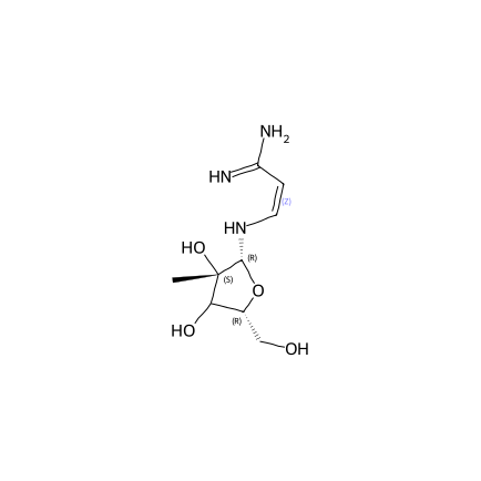 C[C@]1(O)C(O)[C@@H](CO)O[C@H]1N/C=C\C(=N)N